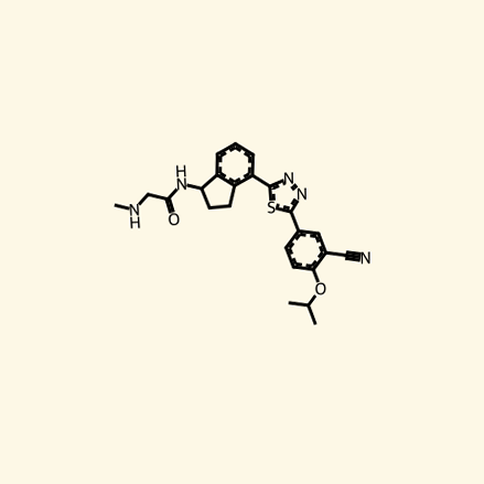 CNCC(=O)NC1CCc2c(-c3nnc(-c4ccc(OC(C)C)c(C#N)c4)s3)cccc21